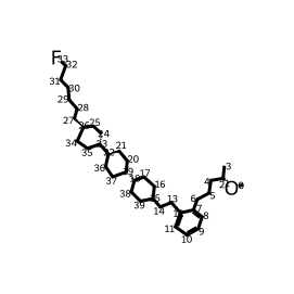 COC(C)CCCc1ccccc1CCC1CCC([C@H]2CC[C@H]([C@H]3CC[C@H](CCCCCCF)CC3)CC2)CC1